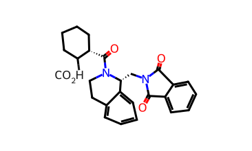 O=C(O)C1CCCC[C@@H]1C(=O)N1CCc2ccccc2[C@H]1CN1C(=O)c2ccccc2C1=O